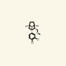 COC[C@H]1[C@H](c2ccc(Cl)c(Cl)c2)C[C@H]2CC[C@@H]1N2C